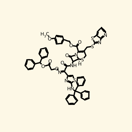 COc1ccc(COC(=O)C2=C(CSc3nc4ncccc4s3)CS[C@H]3C(NC(=O)/C(=N\OCC(=O)OC(c4ccccc4)c4ccccc4)c4csc(NC(c5ccccc5)(c5ccccc5)c5ccccc5)n4)C(=O)N23)cc1